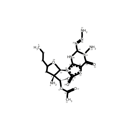 CCCC1C[C@@](N)([C@H](C)OC(C)=O)[C@H](n2c3c(sc2=O)C(=O)N(N)C(N=NN)N3)O1